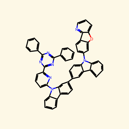 c1ccc(-c2nc(-c3ccccc3)nc(-c3cccc(-n4c5ccccc5c5ccc(-c6ccc7c(c6)c6ccccc6n7-c6ccc7c(c6)oc6cccnc67)cc54)n3)n2)cc1